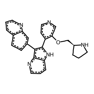 c1cnc2cc(-c3c(-c4ccncc4OC[C@@H]4CCCN4)[nH]c4cccnc34)ccc2c1